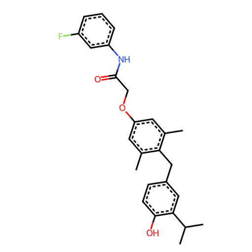 Cc1cc(OCC(=O)Nc2cccc(F)c2)cc(C)c1Cc1ccc(O)c(C(C)C)c1